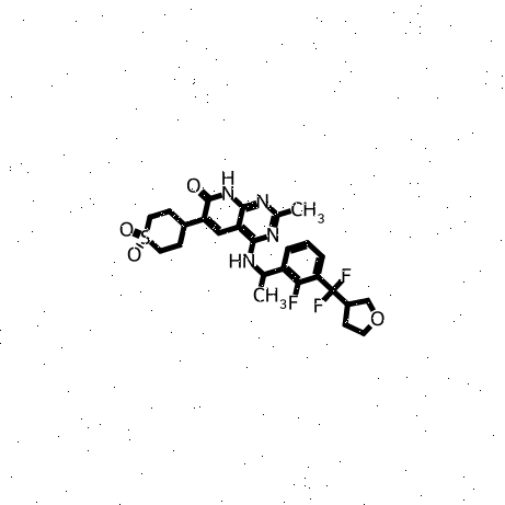 Cc1nc(NC(C)c2cccc(C(F)(F)C3CCOC3)c2F)c2cc(C3CCS(=O)(=O)CC3)c(=O)[nH]c2n1